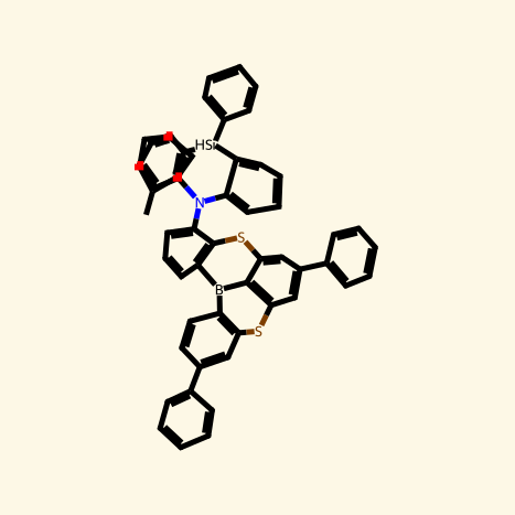 Cc1ccccc1N(c1ccccc1[SiH](c1ccccc1)c1ccccc1)c1cccc2c1Sc1cc(-c3ccccc3)cc3c1B2c1ccc(-c2ccccc2)cc1S3